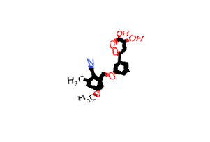 COc1cc(C)c(C#N)c(COc2cccc(C(=O)/C=C(/O)C(=O)O)c2)c1